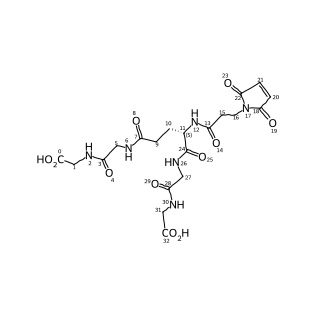 O=C(O)CNC(=O)CNC(=O)CC[C@H](NC(=O)CCN1C(=O)C=CC1=O)C(=O)NCC(=O)NCC(=O)O